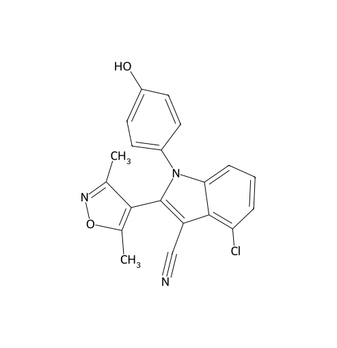 Cc1noc(C)c1-c1c(C#N)c2c(Cl)cccc2n1-c1ccc(O)cc1